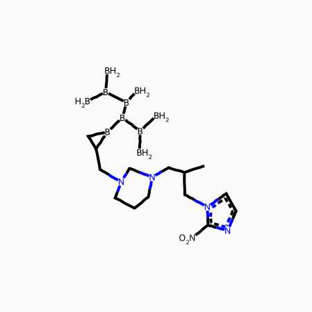 BB(B)B(B)B(B(B)B)B1CC1CN1CCCN(CC(C)Cn2ccnc2[N+](=O)[O-])C1